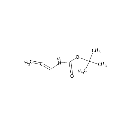 C=C=CNC(=O)OC(C)(C)C